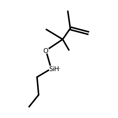 C=C(C)C(C)(C)O[SiH]CCC